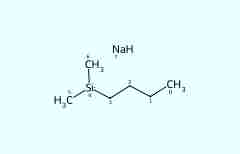 CCCC[Si](C)C.[NaH]